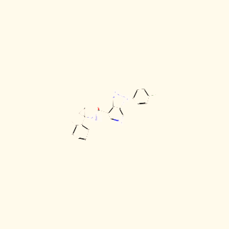 Cc1ccccc1C1(NC(=O)c2cncc3c2cnn3-c2ccc(F)cc2)CC1